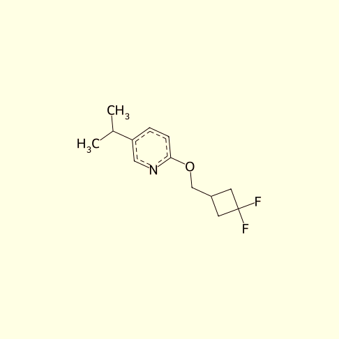 CC(C)c1ccc(OCC2CC(F)(F)C2)nc1